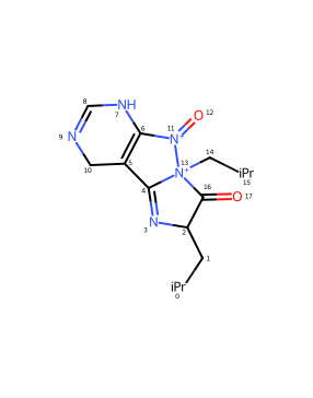 CC(C)CC1N=C2C3=C(NC=NC3)[N+](=O)[N+]2(CC(C)C)C1=O